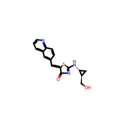 O=C1N=C(N[C@@H]2C[C@H]2CO)S/C1=C\c1ccc2ncccc2c1